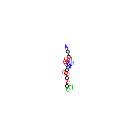 CC(C)N1Cc2cc3c(cc2CC1C(=O)NC(Cc1ccc(-c2ccc(C#N)cc2)cc1)C(=O)O)OCC(c1ccc(OCc2ccc(Cl)c(Cl)c2)cc1)O3